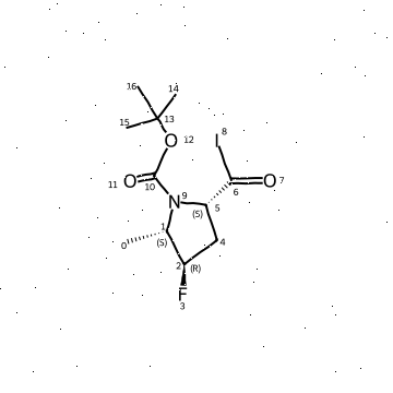 C[C@H]1[C@H](F)C[C@@H](C(=O)I)N1C(=O)OC(C)(C)C